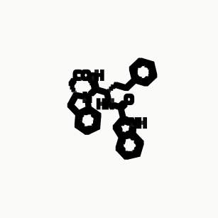 O=C(O)C[C@H]1Cc2ccccc2N1C(=O)[C@H](CCc1ccccc1)NC(=O)c1cc2ccccc2[nH]1